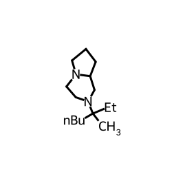 CCCCC(C)(CC)N1CCN2CCCC2C1